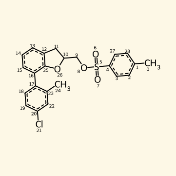 Cc1ccc(S(=O)(=O)OCC2Cc3cccc(-c4ccc(Cl)cc4C)c3O2)cc1